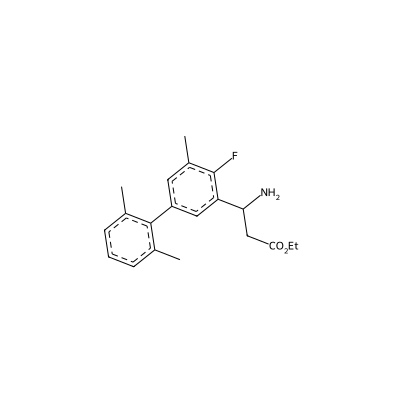 CCOC(=O)CC(N)c1cc(-c2c(C)cccc2C)cc(C)c1F